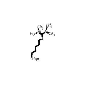 CCCCCCCCCCCCSC(N(C)C)=[N+](C)C